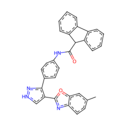 Cc1ccc2nc(-c3c[nH]nc3-c3ccc(NC(=O)C4c5ccccc5-c5ccccc54)cc3)oc2c1